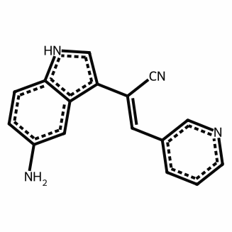 N#CC(=Cc1cccnc1)c1c[nH]c2ccc(N)cc12